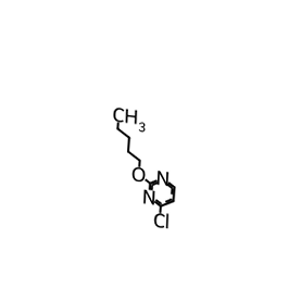 CCCCCOc1nccc(Cl)n1